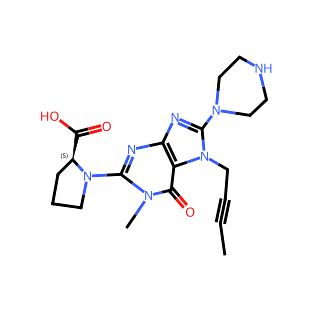 CC#CCn1c(N2CCNCC2)nc2nc(N3CCC[C@H]3C(=O)O)n(C)c(=O)c21